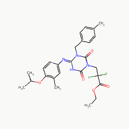 CCOC(=O)C(F)(F)Cn1c(=O)[nH]/c(=N\c2ccc(OC(C)C)c(C)c2)n(Cc2ccc(C)cc2)c1=O